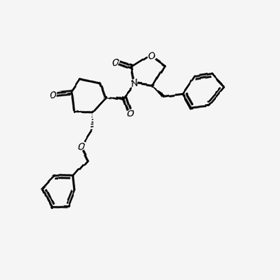 O=C1CC[C@@H](C(=O)N2C(=O)OC[C@H]2Cc2ccccc2)[C@H](COCc2ccccc2)C1